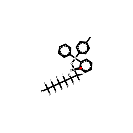 Cc1ccc(S(OS(=O)(=O)C(F)(F)C(F)(F)C(F)(F)C(F)(F)C(F)(F)C(F)(F)F)(c2ccccc2)c2ccccc2)cc1